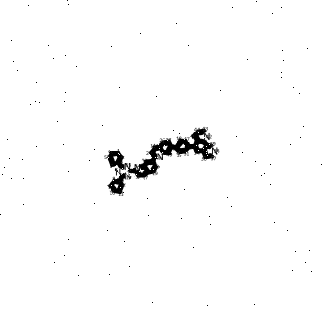 c1ccc(-c2nc(-c3ccccc3)nc(-c3ccc4ccc(-c5ccc6ccc(-c7ccc(-c8cc9ccncc9c9ncccc89)cc7)cc6n5)cc4n3)n2)cc1